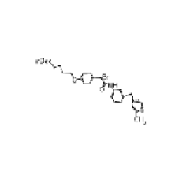 CCCCCCCCCCCCCCOc1ccc(CC(=O)Nc2cccc(C[n+]3csc(C)c3)c2)cc1.[Br-]